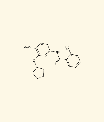 COc1ccc(NC(=O)c2ccccc2C(F)(F)F)cc1OC1CCCC1